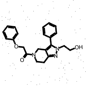 O=C(COc1ccccc1)N1CCc2nn(CCO)c(-c3ccccc3)c2C1